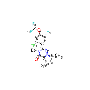 CCn1c(-c2cc(F)c(OC(F)F)cc2Cl)nn2c(C)cc(C(C)C)c2c1=O